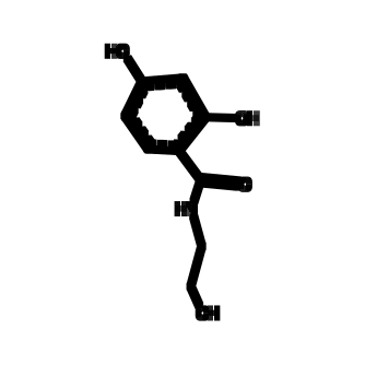 O=C(NCCO)c1ccc(O)cc1O